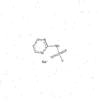 O=S(=O)([O-])Nc1ncccn1.[Na+]